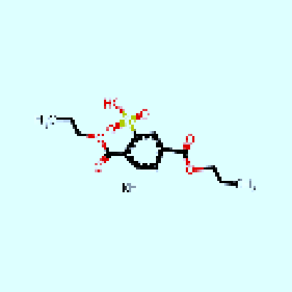 CCCOC(=O)c1ccc(C(=O)OCCC)c(S(=O)(=O)O)c1.[KH]